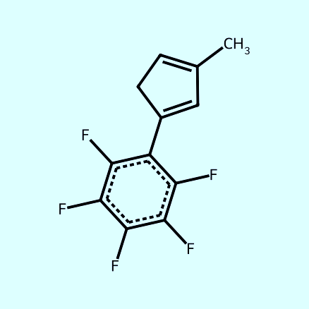 CC1=CCC(c2c(F)c(F)c(F)c(F)c2F)=C1